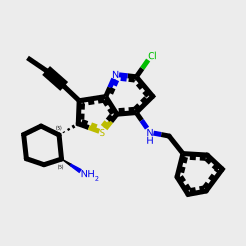 CC#Cc1c([C@H]2CCCC[C@@H]2N)sc2c(NCc3ccccc3)cc(Cl)nc12